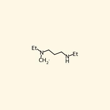 [CH2]N(CC)CCCNCC